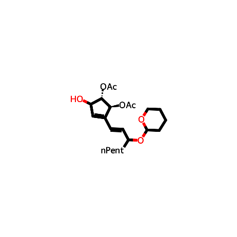 CCCCCC(C=CC1=CC(O)[C@H](OC(C)=O)[C@H]1OC(C)=O)OC1CCCCO1